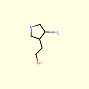 NC1C[N]CC1CCO